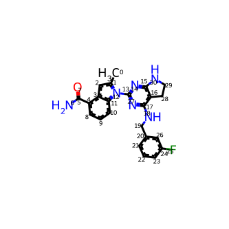 Cc1cc2c(C(N)=O)cccc2n1-c1nc2c(c(NCc3cccc(F)c3)n1)CCN2